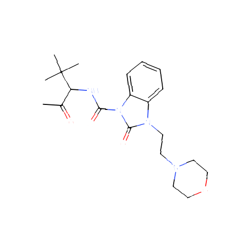 CC(=O)C(NC(=O)n1c(=O)n(CCN2CCOCC2)c2ccccc21)C(C)(C)C